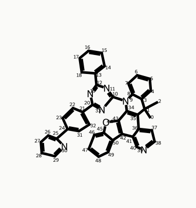 CC1(C)c2ccccc2N(c2nc(-c3ccccc3)nc(-c3ccc(-c4ccccn4)cc3)n2)c2c1c1ccncc1c1c2oc2ccccc21